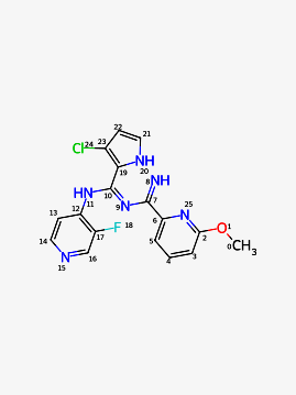 COc1cccc(C(=N)/N=C(/Nc2ccncc2F)c2[nH]ccc2Cl)n1